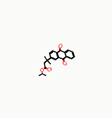 CC(C)OC(=O)CC(C)(C)c1ccc2c(c1)C(=O)c1ccccc1C2=O